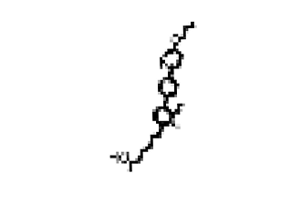 C=CCOc1ccc(-c2ccc(-c3ccc(/C=C/CCCC(C)O)c(F)c3F)cc2)nc1